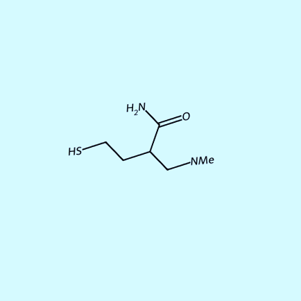 CNCC(CCS)C(N)=O